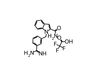 N=C(N)c1cccc(Cn2c(C(N)=O)cc3ccccc32)c1.O=C(O)C(F)(F)F